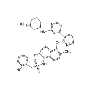 Cc1ccc2c(NS(=O)(=O)Cc3ccccc3C#N)c(F)ccc2c1Oc1ncccc1-c1ccnc(N[C@H]2CCCNC2)n1.Cl